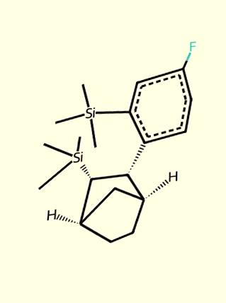 C[Si](C)(C)c1cc(F)ccc1[C@@H]1[C@H]2CC[C@H](C2)[C@@H]1[Si](C)(C)C